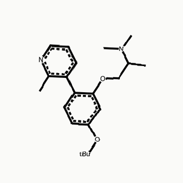 Cc1ncccc1-c1ccc(OC(C)(C)C)cc1OCC(C)N(C)C